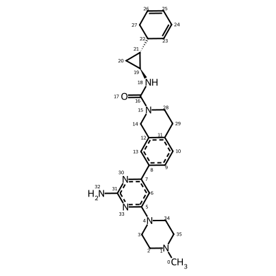 CN1CCN(c2cc(-c3ccc4c(c3)CN(C(=O)N[C@H]3C[C@@H]3C3C=CC=CC3)CC4)nc(N)n2)CC1